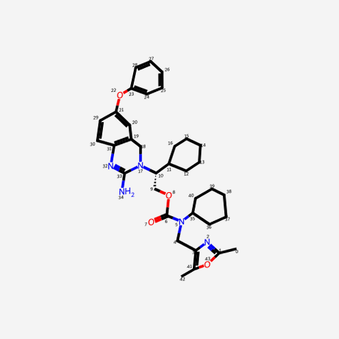 Cc1nc(CN(C(=O)OC[C@@H](C2CCCCC2)N2Cc3cc(Oc4ccccc4)ccc3N=C2N)C2CCCCC2)c(C)o1